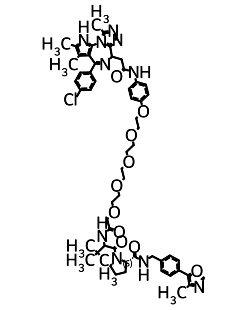 Cc1ncoc1-c1ccc(CNC(=O)[C@@H]2CCCN2C(=O)C(NC(=O)COCCOCCOCCOCCOc2ccc(NC(=O)CC3N=C(c4ccc(Cl)cc4)c4c([nH]c(C)c4C)-n4c(C)nnc43)cc2)C(C)(C)C)cc1